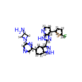 NC1CN(c2cncc(-c3ccc4[nH]nc(-c5nc6c(-c7ccc(F)s7)ccnc6[nH]5)c4c3)n2)C1